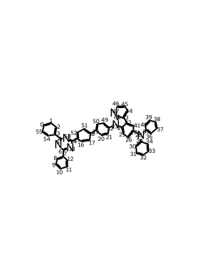 c1ccc(-c2nc(-c3ccccc3)nc(-c3ccc(-c4ccc(-n5c6ccc(N(c7ccccc7)c7ccccc7)cc6c6cccnc65)cc4)cc3)n2)cc1